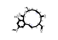 COc1cc(O)c2c(c1)/C=C/CC(C=O)CC(=O)/C=C\C[C@H](C)OC2=O